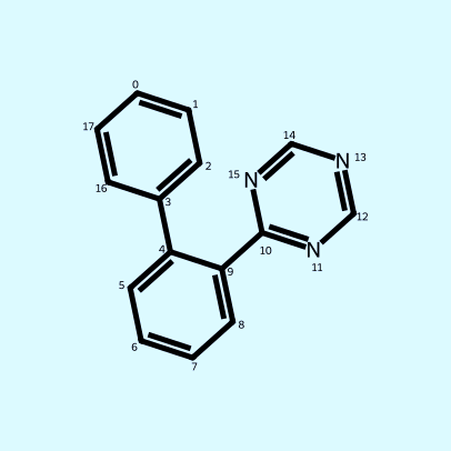 c1ccc(-c2ccccc2-c2ncncn2)cc1